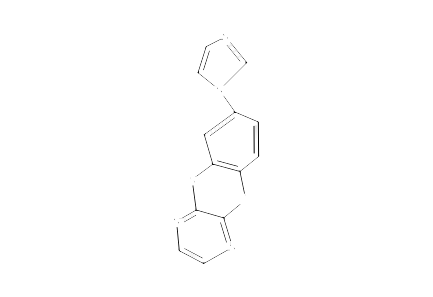 c1cn(-c2ccc3c(c2)Nc2nccnc2O3)cn1